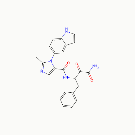 Cc1ncc(C(=O)NC(Cc2ccccc2)C(=O)C(N)=O)n1-c1ccc2[nH]ccc2c1